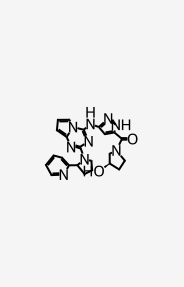 O=C(c1cc(Nc2nc(N3CCCC3c3ccccn3)nc3cccn23)n[nH]1)N1CC[C@@H](O)C1